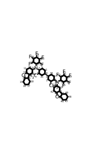 Cc1cc(-c2ccc(N(c3ccc4oc5ccccc5c4c3)c3c(F)c(F)c(F)c(F)c3F)c(C)c2)ccc1N(c1ccc2oc3ccccc3c2c1)c1c(F)c(F)c(F)c(F)c1F